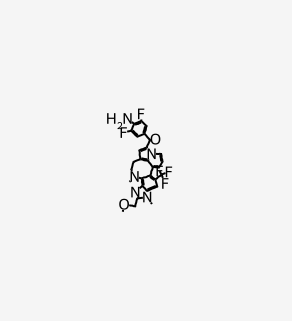 COCc1nc2c3c(c(C(F)(F)F)cc2n1C)-c1cccn2c(C(=O)c4cc(F)c(N)c(F)c4)cc(c12)CCN3C